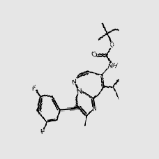 Cc1nc2c(C(C)C)c(NC(=O)OC(C)(C)C)cnn2c1-c1cc(F)cc(F)c1